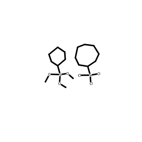 CO[Si](OC)(OC)C1CCCCC1.Cl[Si](Cl)(Cl)C1CCCCCCC1